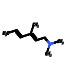 C/C=C/C(C)=C/CN(C)C